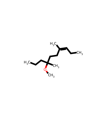 CCC=C(C)CCC(C)(CCC)OC